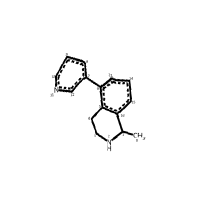 CC1NCCc2c(-c3cccnc3)cccc21